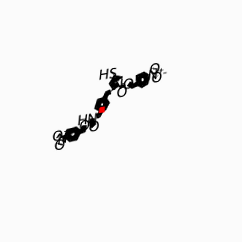 O=C(NCc1ccc(CC[C@@H]2C[C@H](S)CN2C(=O)OCc2ccc([N+](=O)[O-])cc2)cc1)OCc1ccc([N+](=O)[O-])cc1